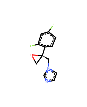 Fc1ccc([C@]2(Cn3ccnc3)CO2)c(F)c1